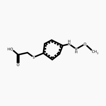 COBNc1ccc(SCC(=O)O)cc1